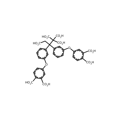 O=C(O)CC(c1cccc(Oc2ccc(C(=O)O)c(C(=O)O)c2)c1)(c1cccc(Oc2ccc(C(=O)O)c(C(=O)O)c2)c1)C(C(=O)O)(C(=O)O)C(=O)O